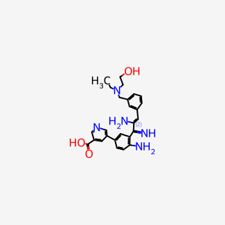 CCN(CCO)Cc1cccc(/C=C(\N)C(=N)c2cc(-c3cncc(C(=O)O)c3)ccc2N)c1